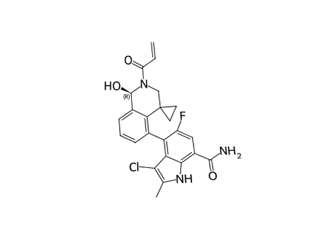 C=CC(=O)N1CC2(CC2)c2c(-c3c(F)cc(C(N)=O)c4[nH]c(C)c(Cl)c34)cccc2[C@H]1O